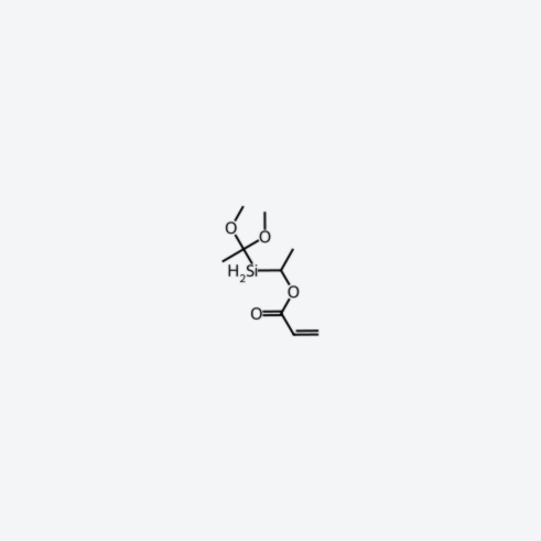 C=CC(=O)OC(C)[SiH2]C(C)(OC)OC